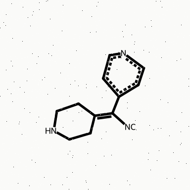 [C-]#[N+]C(=C1CCNCC1)c1ccncc1